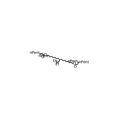 CCCCCC(CCCCC)CC(=O)OCCCCCCCCC(CCCCCCCCOC(=O)CC(CCCCC)CCCCC)CN(CC)CC